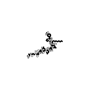 CCCCCCCCC(NC(=O)[C@@H]1CCCN1C(=O)c1ccc2ocnc2c1)C(=O)NC(CC(C)C)C(=O)NC(C)(C)C(=O)NC(CC(C)C)C(=O)NC(CC(C)C)C(=O)NC(C)(C)C(=O)NC(C)(C)C(=O)NCCC(=O)NC(C)CN(C)C